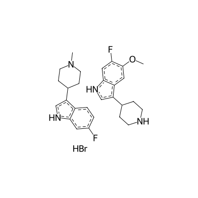 Br.CN1CCC(c2c[nH]c3cc(F)ccc23)CC1.COc1cc2c(C3CCNCC3)c[nH]c2cc1F